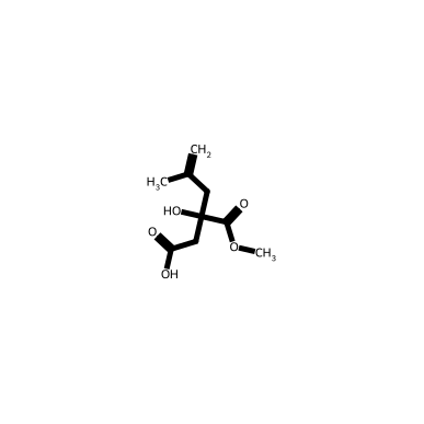 C=C(C)CC(O)(CC(=O)O)C(=O)OC